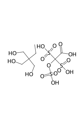 CCC(CO)(CO)CO.O=C(O)C(OS(=O)(=O)O)(S(=O)(=O)O)S(=O)(=O)O